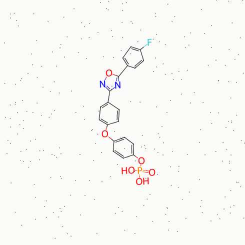 O=P(O)(O)Oc1ccc(Oc2ccc(-c3noc(-c4ccc(F)cc4)n3)cc2)cc1